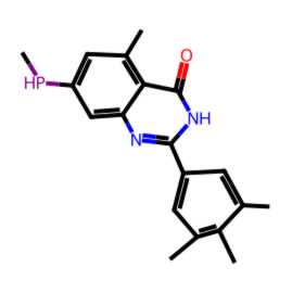 CPc1cc(C)c2c(=O)[nH]c(-c3cc(C)c(C)c(C)c3)nc2c1